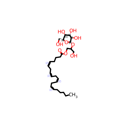 CCCCC/C=C\C/C=C\C/C=C\C/C=C\CCCC(=O)OCC(CO)O[C@@H]1O[C@H](CO)[C@@H](O)[C@H](O)[C@H]1O